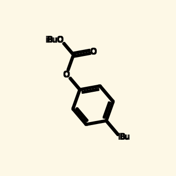 CCC(C)c1ccc(OC(=O)OCC(C)C)cc1